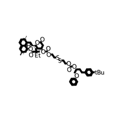 CCC(C)(C)C(=O)O[C@H]1C[C@@H](C)C=C2C=C[C@H](C)C(CC[C@@H]3C[C@@H](OC(=O)OCCSSCCOC(=O)OC(CCc4ccc(C(C)(C)C)cc4)COc4ccccc4)CC(=O)O3)[C@H]21